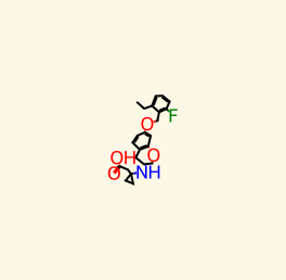 CCc1cccc(F)c1COc1ccc2c(c1)OCC(NC1(CC(=O)O)CC1)C2